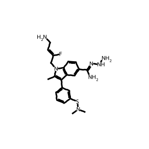 Cc1c(-c2cccc(SN(C)C)c2)c2cc(/C(N)=N/NN)ccc2n1C/C(F)=C/CN